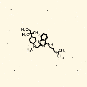 CCC(C)(C)C1CCC(N(C)Cc2nc(NCCCN(C)C)c3ccccc3n2)CC1